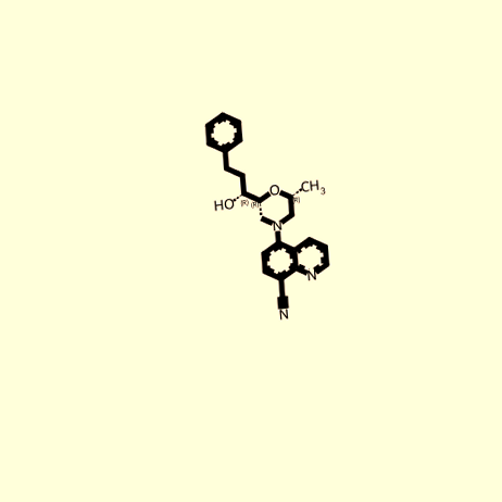 C[C@@H]1CN(c2ccc(C#N)c3ncccc23)C[C@H]([C@H](O)CCc2ccccc2)O1